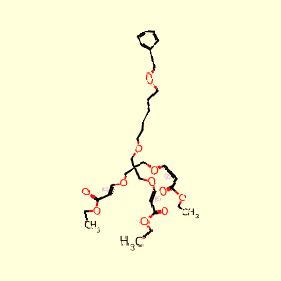 CCOC(=O)/C=C\OCC(CO/C=C/C(=O)OCC)(CO/C=C/C(=O)OCC)COCCCCCCOCc1ccccc1